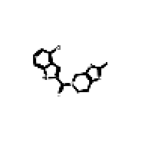 Cc1nc2c(s1)CN(C(=O)c1cc3c(Cl)cccc3[nH]1)CC2